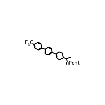 CCCCCC(C)C1CC=C(c2ccc(-c3ccc(C(F)(F)F)cc3)cc2)CC1